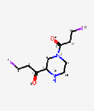 O=C(CCI)C1CN(C(=O)CCI)CCN1